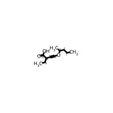 [CH2]CCC(C)OC#CC(CC)C(=O)O